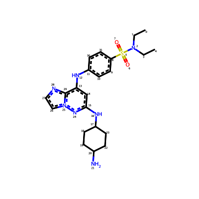 CCN(CC)S(=O)(=O)c1ccc(Nc2cc(NC3CCC(N)CC3)nn3ccnc23)cc1